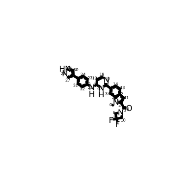 Cn1c(C(=O)N2CC(F)(F)C2)cc2ccc(C3=NC=CC(Nc4ccc(-c5cn[nH]c5)cc4)N3)cc21